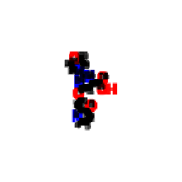 O=C1CC=CN=C1CCOc1cc(C(=O)O)nc(N2CCOCC2)n1